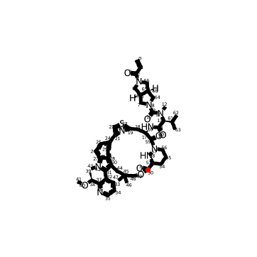 C=CC(=O)N1C[C@@H]2CN(C(=O)N(C)[C@H](C(=O)N[C@H]3Cc4nc(cs4)-c4ccc5c(c4)c(c(-c4cccnc4[C@H](C)OC)n5C)CC(C)(C)COC[C@@]4(C=O)CCCN(N4)C3=O)C(C)C)C[C@@H]2C1